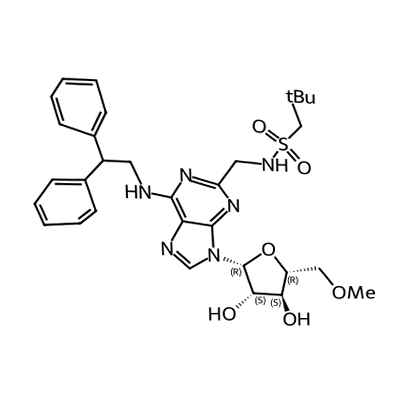 COC[C@H]1O[C@@H](n2cnc3c(NCC(c4ccccc4)c4ccccc4)nc(CNS(=O)(=O)CC(C)(C)C)nc32)[C@@H](O)[C@@H]1O